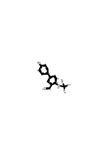 O=Cc1cc(-c2ccc(F)cc2)ccc1OC(F)(F)F